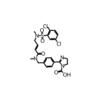 CN(Cc1ccc(C2=NCCN2C(=O)O)cc1)C(=O)/C=C/CN(C)S(=O)(=O)c1cc(Cl)ccc1Cl